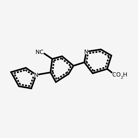 N#Cc1cc(-c2cc(C(=O)O)ccn2)ccc1-n1cccc1